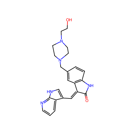 O=C1Nc2ccc(CN3CCN(CCO)CC3)cc2/C1=C\c1c[nH]c2ncccc12